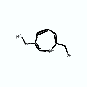 OCC1=CNC(CO)=CC=C1